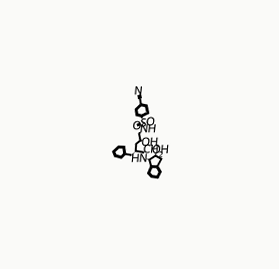 C=C(N[C@H]1c2ccccc2C[C@H]1O)[C@H](Cc1ccccc1)CC(O)CNS(=O)(=O)c1ccc(C#N)cc1